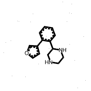 c1ccc(C2CNCCN2)c(-c2ccoc2)c1